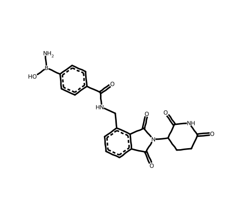 NB(O)c1ccc(C(=O)NCc2cccc3c2C(=O)N(C2CCC(=O)NC2=O)C3=O)cc1